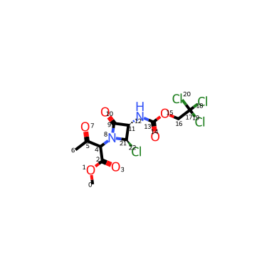 COC(=O)C(C(C)=O)N1C(=O)[C@H](NC(=O)OCC(Cl)(Cl)Cl)[C@H]1Cl